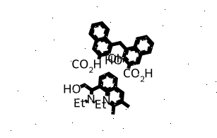 CCN(CC)C(CO)c1cccc2cc(C)c(C)nc12.O=C(O)c1cc2ccccc2c(Cc2c(O)c(C(=O)O)cc3ccccc23)c1O